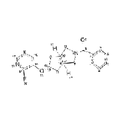 O=C(c1ccccc1)N1C[C@H]2C[C@H](Oc3cccnc3F)C[C@H]2C1